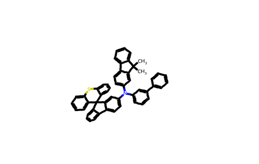 CC1(C)c2ccccc2-c2ccc(N(c3cccc(-c4ccccc4)c3)c3ccc4c(c3)C3(c5ccccc5Sc5ccccc53)c3ccccc3-4)cc21